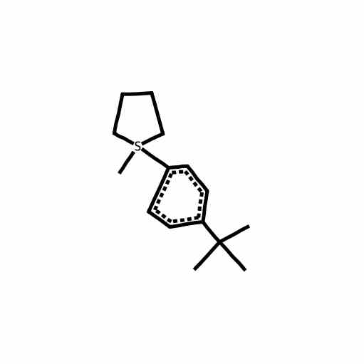 CC(C)(C)c1ccc(S2(C)CCCC2)cc1